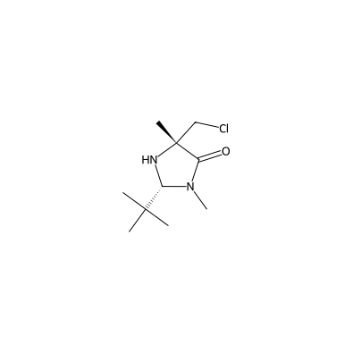 CN1C(=O)[C@@](C)(CCl)N[C@H]1C(C)(C)C